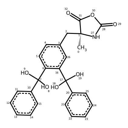 C[C@@]1(Cc2ccc(C(O)(O)c3ccccc3)c(C(O)(O)c3ccccc3)c2)NC(=O)OC1=O